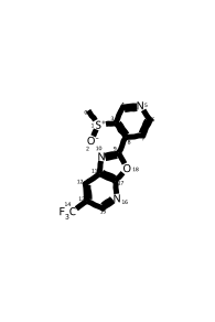 C[S+]([O-])c1cnccc1-c1nc2cc(C(F)(F)F)cnc2o1